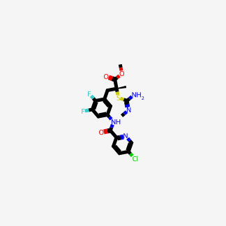 C/N=C(/N)S[C@](C)(Cc1cc(NC(=O)c2ccc(Cl)cn2)cc(F)c1F)C(=O)OC